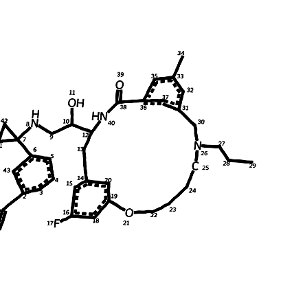 C#Cc1cccc(C2(NCC(O)C3Cc4cc(F)cc(c4)OCCCCN(CCC)Cc4cc(C)cc(c4)C(=O)N3)CC2)c1